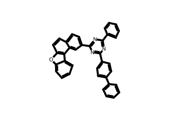 c1ccc(-c2ccc(-c3nc(-c4ccccc4)nc(-c4ccc5ccc6oc7ccccc7c6c5c4)n3)cc2)cc1